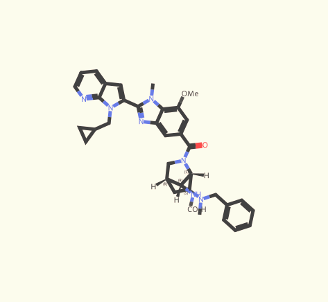 COc1cc(C(=O)N2C[C@H]3C[C@H](N(C)Cc4ccccc4)[C@@H]2[C@@H]3NC(=O)O)cc2nc(-c3cc4cccnc4n3CC3CC3)n(C)c12